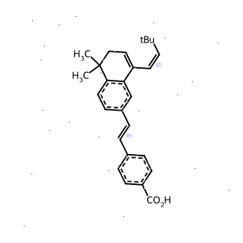 CC(C)(C)/C=C\C1=CCC(C)(C)c2ccc(/C=C/c3ccc(C(=O)O)cc3)cc21